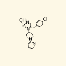 CN1C[C@H](Cc2ccc(Cl)cc2)N(C2CCN(c3ccccn3)CC2)C[C@@H]1CO